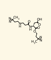 CC1(CCNCCC(=O)N[C@@H](CC(=O)O)C(=O)OCCC2(C)N=N2)N=N1